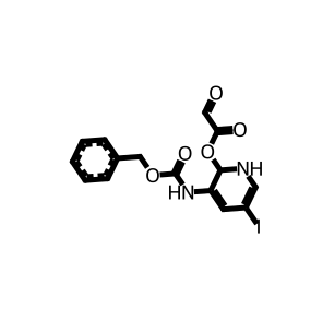 O=CC(=O)OC1NC=C(I)C=C1NC(=O)OCc1ccccc1